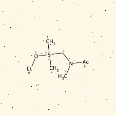 CCO[Si](C)(C)CN(C)C(C)=O